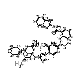 CC1CC2(Cn3cc(-c4ccc(N5CCc6cccc(C(=O)Nc7nc8ccccc8s7)c6C5)nc4C(=O)O)cn3)CC(C)CC(N3CCOCC3)(C1)C2